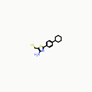 Nc1nc(-c2ccc(C3CCCCC3)cc2)sc1CS